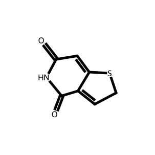 O=C1C=C2SCC=C2C(=O)N1